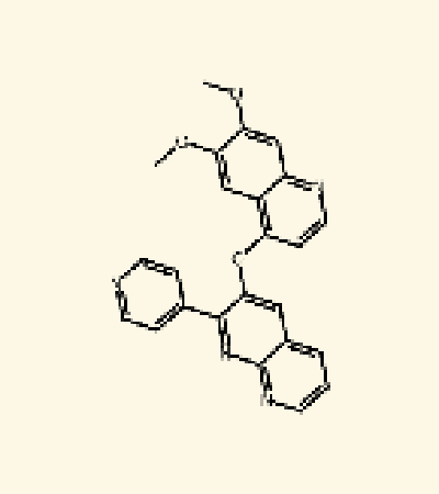 COc1cc2nccc(Oc3cc4cccnc4nc3-c3ccncc3)c2cc1OC